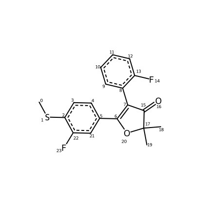 CSc1ccc(C2=C(c3ccccc3F)C(=O)C(C)(C)O2)cc1F